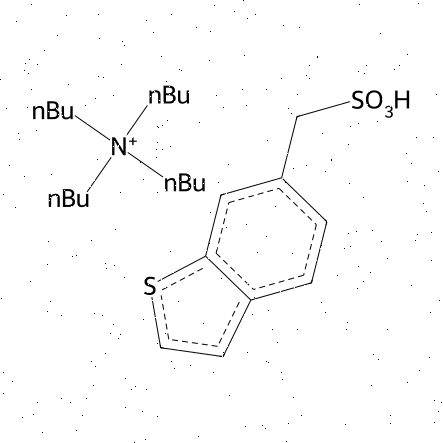 CCCC[N+](CCCC)(CCCC)CCCC.O=S(=O)(O)Cc1ccc2ccsc2c1